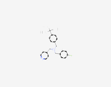 CC(C)(C)c1ccc(CN(Cc2ccncc2)Cc2ccc(F)cc2)cc1